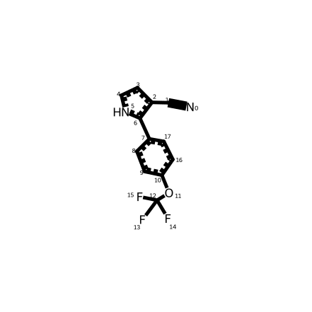 N#Cc1cc[nH]c1-c1ccc(OC(F)(F)F)cc1